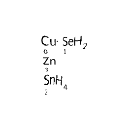 [Cu].[SeH2].[SnH4].[Zn]